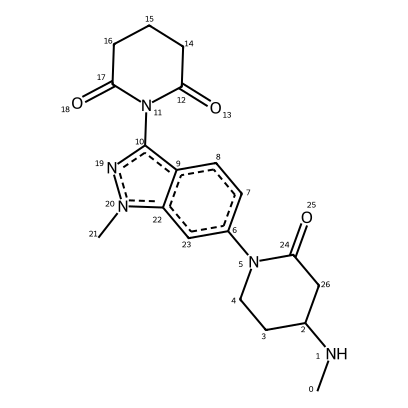 CNC1CCN(c2ccc3c(N4C(=O)CCCC4=O)nn(C)c3c2)C(=O)C1